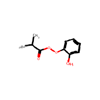 CCCCC(C)C(=O)OOc1ccccc1O